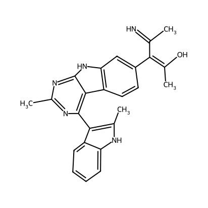 CC(=N)/C(=C(/C)O)c1ccc2c(c1)[nH]c1nc(C)nc(-c3c(C)[nH]c4ccccc34)c12